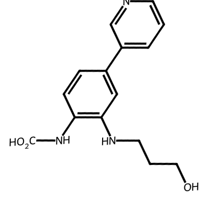 O=C(O)Nc1ccc(-c2cccnc2)cc1NCCCO